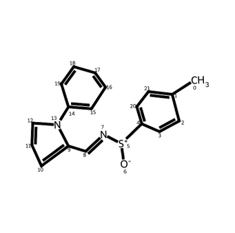 Cc1ccc([S+]([O-])N=Cc2cccn2-c2ccccc2)cc1